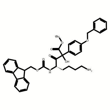 CC(C)(C)OC(=O)C(O)(C(=O)[C@H](CCCCN)NC(=O)OCC1c2ccccc2-c2ccccc21)c1ccc(OCc2ccccc2)cc1